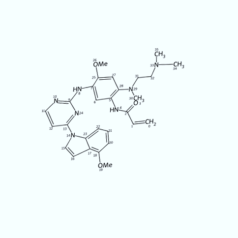 C=CC(=O)Nc1cc(Nc2nccc(-n3ccc4c(OC)cccc43)n2)c(OC)cc1N(C)CCN(C)C